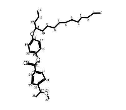 CCCCCCCCCCCC(CCC)Oc1ccc(OC(=O)c2ccc(C(C)OC)cc2)cc1